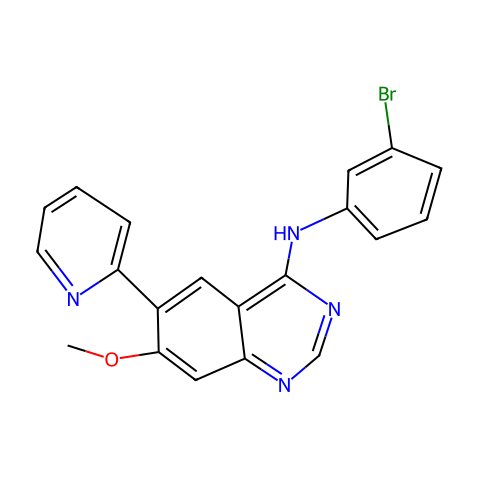 COc1cc2ncnc(Nc3cccc(Br)c3)c2cc1-c1ccccn1